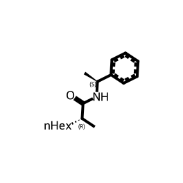 CCCCCC[C@@H](C)C(=O)N[C@@H](C)c1ccccc1